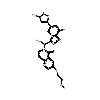 COCCOc1cnc2ccn(C(C)c3nnc4c(F)cc(C5=CC(C)NO5)cn34)c(=O)c2c1